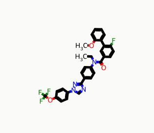 CCN(C(=O)c1ccc(F)c(-c2ccccc2OC)c1)c1ccc(-c2ncn(-c3ccc(OC(F)(F)F)cc3)n2)cc1